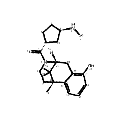 CC(C)N[C@@H]1CC[C@@H](C(=O)N2CC[C@@]3(C)c4cccc(O)c4C[C@@H]2C3(C)C)C1